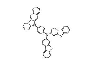 c1ccc2cc3c(cc2c1)c1ccccc1n3-c1ccc(N(c2ccc3c(c2)sc2ccccc23)c2ccc3c(c2)sc2ccccc23)cc1